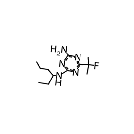 CCCC(CC)Nc1nc(N)nc(C(C)(C)F)n1